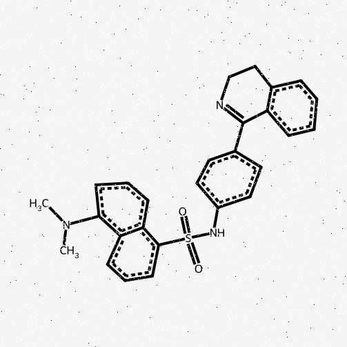 CN(C)c1cccc2c(S(=O)(=O)Nc3ccc(C4=NCCc5ccccc54)cc3)cccc12